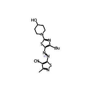 [C-]#[N+]c1c(C)nsc1/N=N/c1sc(N2CCC(O)CC2)nc1C(C)(C)C